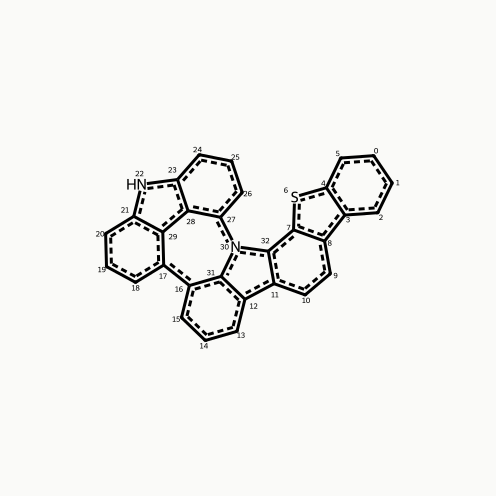 c1ccc2c(c1)sc1c2ccc2c3cccc4c5cccc6[nH]c7cccc(c7c65)n(c43)c21